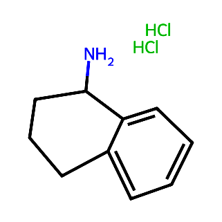 Cl.Cl.NC1CCCc2ccccc21